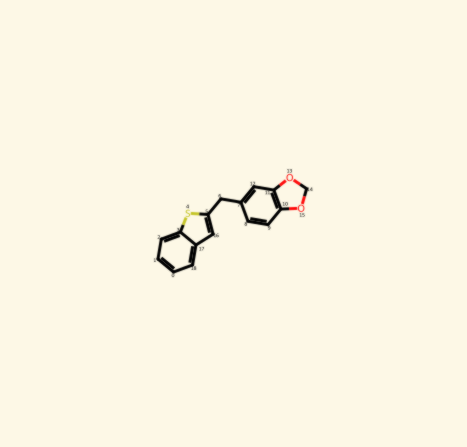 c1ccc2sc(Cc3ccc4c(c3)OCO4)cc2c1